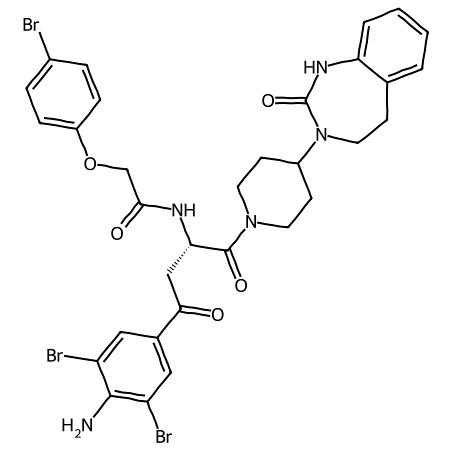 Nc1c(Br)cc(C(=O)C[C@H](NC(=O)COc2ccc(Br)cc2)C(=O)N2CCC(N3CCc4ccccc4NC3=O)CC2)cc1Br